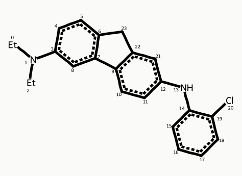 CCN(CC)c1ccc2c(c1)-c1ccc(Nc3ccccc3Cl)cc1C2